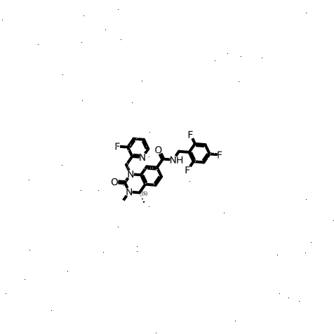 C[C@H]1c2ccc(C(=O)NCc3c(F)cc(F)cc3F)cc2N(Cc2ncccc2F)C(=O)N1C